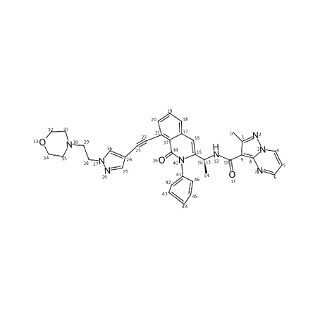 Cc1nn2cccnc2c1C(=O)N[C@@H](C)c1cc2cccc(C#Cc3cnn(CCN4CCOCC4)c3)c2c(=O)n1-c1ccccc1